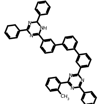 Cc1ccccc1-c1nc(-c2ccccc2)nc(-c2cccc(-c3cccc(-c4cccc(C5=NC(C6=CC=CCC6)=NC(c6ccccc6)N5)c4)c3)c2)n1